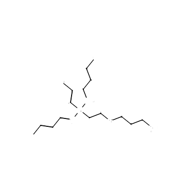 CCCCO[Si](CCC)(CCNCCCN)OCCCC